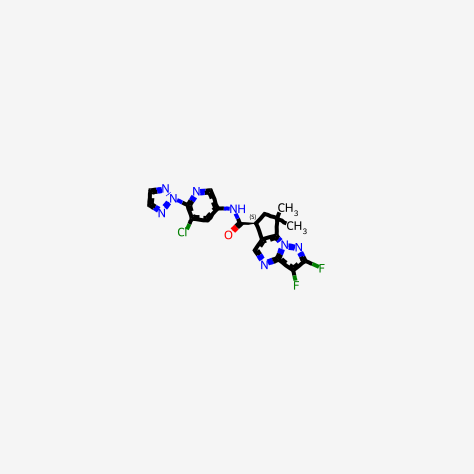 CC1(C)C[C@H](C(=O)Nc2cnc(-n3nccn3)c(Cl)c2)c2cnc3c(F)c(F)nn3c21